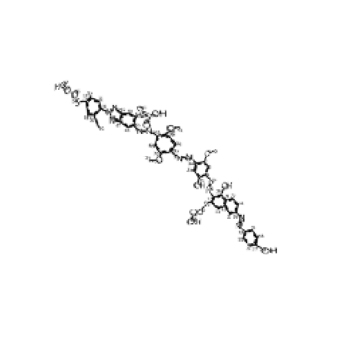 COc1cc(N=Nc2c(SOOO)cc3cc(N=Nc4ccc(O)cc4)ccc3c2O)c(O)cc1N=Nc1cc(OC)c(N=Nc2cc3nn(-c4ccc(SOOO)cc4C)nc3cc2S(=O)(=O)O)cc1OC